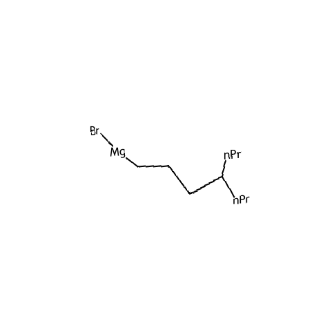 CCCC(CCC)CC[CH2][Mg][Br]